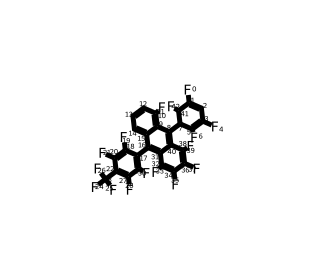 FC1=CC(F)=C(F)C(c2c3c(F)cccc3c(-c3c(F)c(F)c(C(F)(F)F)c(F)c3F)c3c(F)c(F)c(F)c(F)c23)C1F